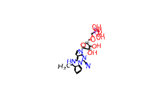 CC(Nc1nc(C#N)nc2c1ccn2[C@@H]1O[C@H](COCP(=O)(O)O)[C@@H](O)[C@H]1O)c1ccccc1